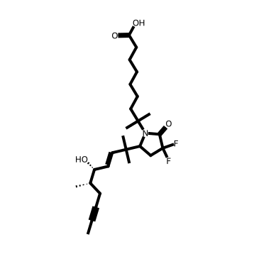 CC#CC[C@H](C)[C@H](O)/C=C/C(C)(C)C1CC(F)(F)C(=O)N1C(C)(C)CCCCCCC(=O)O